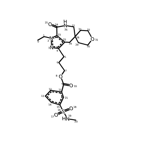 CCn1nc(CCCOC(=O)c2cccc(S(=O)(=O)NC)c2)c2c1C(=O)NCC1(CCOCC1)C2